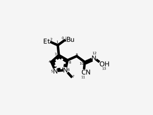 CCC(C)C(CC)c1cnn(C)c1C/C(C#N)=N/O